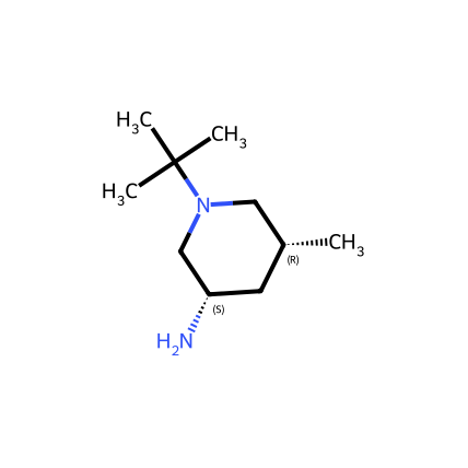 C[C@@H]1C[C@H](N)CN(C(C)(C)C)C1